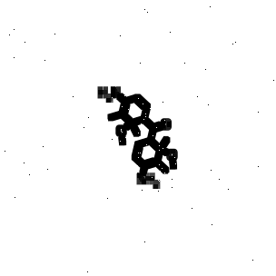 COC1(C)C(C)=C(N)C=CC1C(=O)C1C=CC(N)=C(C)C1(C)OC